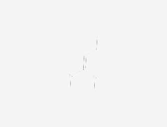 CCC=C(N(C)C)N(C)C